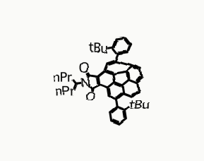 CCCC(CCC)n1c(=O)c2c3cc(-c4ccccc4C(C)(C)C)c4ccc5ccc6c(-c7ccccc7C(C)(C)C)cc(c2c1=O)c1c6c5c4c31